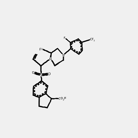 C=CC(N1CCN(c2ccc(C(F)(F)F)cc2F)CC1CC)S(=O)(=O)c1ccc2c(c1)C(C(=O)O)CC2